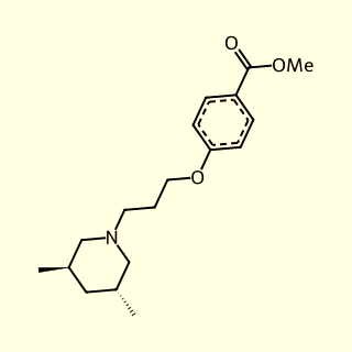 COC(=O)c1ccc(OCCCN2C[C@H](C)C[C@@H](C)C2)cc1